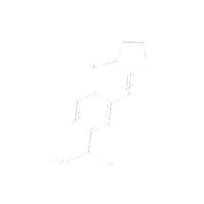 CC(C(=O)O)c1cccc(/C=C2/SCCC2O)c1